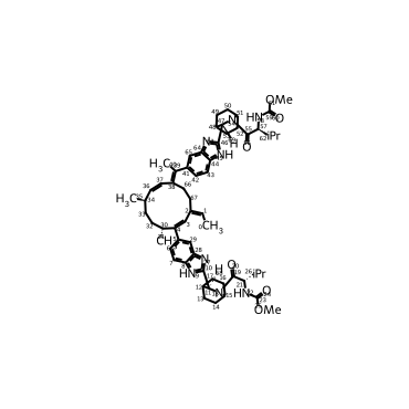 C/C=C1\C=C(\c2ccc3[nH]c([C@@H]4C5CCC(CC5)N4C(=O)[C@@H](NC(=O)OC)C(C)C)nc3c2)[C@H](C)CC[C@@H](C)/C=C\C(=C(/C)c2ccc3[nH]c([C@@H]4C5CCC(CC5)N4C(=O)[C@@H](NC(=O)OC)C(C)C)nc3c2)CC1